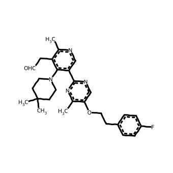 Cc1nc(-c2cnc(C)c(CC=O)c2N2CCC(C)(C)CC2)ncc1OCCc1ccc(F)cc1